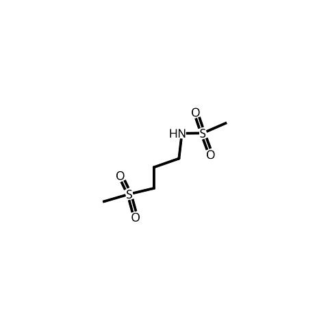 CS(=O)(=O)CCCNS(C)(=O)=O